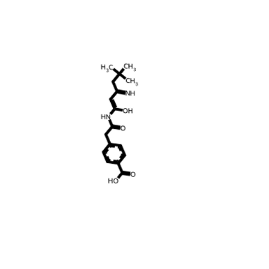 CC(C)(C)CC(=N)/C=C(\O)NC(=O)Cc1ccc(C(=O)O)cc1